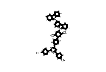 N#Cc1ccc(-c2cc(-c3ccc(-c4cc(C#N)c(-n5c6ccccc6c6cc(-n7c8ccccc8c8ccccc87)ccc65)cc4C#N)cc3)nc(-c3ccc(C#N)cc3)n2)cc1